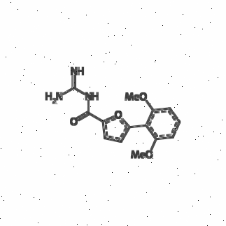 COc1cccc(OC)c1-c1ccc(C(=O)NC(=N)N)o1